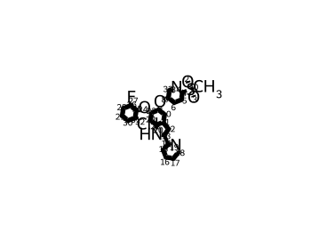 CS(=O)(=O)c1ccc(Oc2cc3cc(-c4ccccn4)[nH]c3cc2Oc2c(F)cccc2C#N)cn1